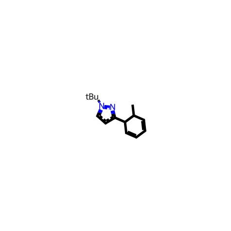 CC1C=CC=CC1c1ccn(C(C)(C)C)n1